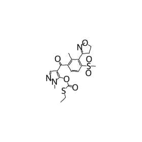 CCSC(=O)Oc1c(C(=O)c2ccc(S(C)(=O)=O)c(C3=NOCC3)c2C)cnn1C